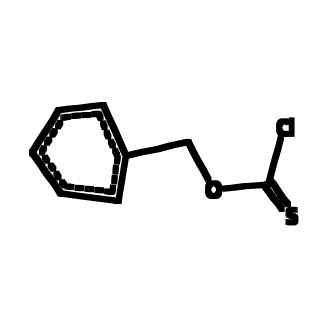 S=C(Cl)OCc1ccccc1